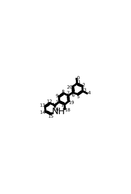 Cc1cc(C)cc(-c2ccc(C3C=CC=CN3)c(C)c2)c1